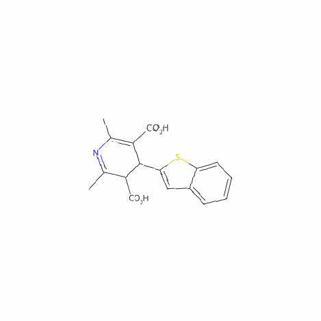 CC1=NC(C)=C(C(=O)O)C(c2cc3ccccc3s2)C1C(=O)O